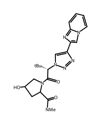 CNC(=O)C1CC(O)CN1C(=O)[C@@H](n1cc(-c2cn3ccccc3n2)nn1)C(C)(C)C